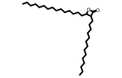 CCCCCCCCCCCCCCCC1OC(=O)C1CCCCCCCCCCCCCC